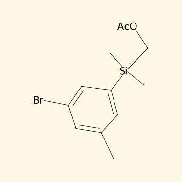 CC(=O)OC[Si](C)(C)c1cc(C)cc(Br)c1